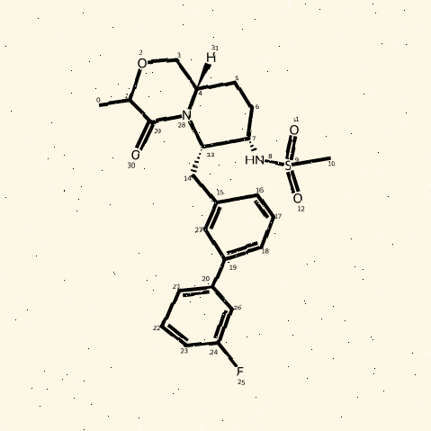 CC1OC[C@@H]2CC[C@H](NS(C)(=O)=O)[C@H](Cc3cccc(-c4cccc(F)c4)c3)N2C1=O